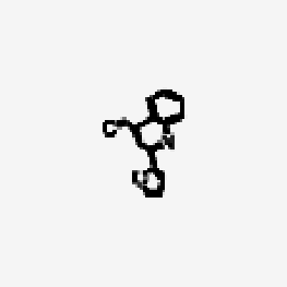 O=Cc1cc(-c2ccco2)nc2ccccc12